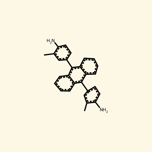 Cc1cc(-c2c3ccccc3c(-c3ccc(N)c(C)c3)c3ccccc23)ccc1N